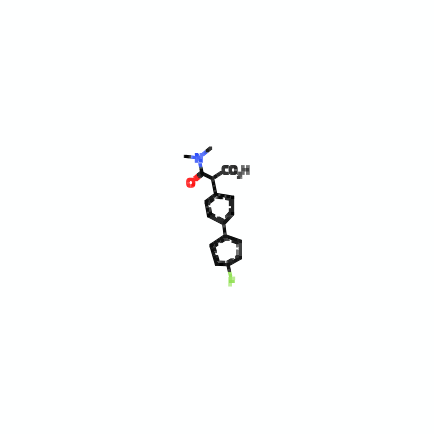 CN(C)C(=O)C(C(=O)O)c1ccc(-c2ccc(F)cc2)cc1